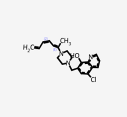 C=C/C=C\C=C(/C)N1CCN(Cc2cc(Cl)c3cccnc3c2O)CC1